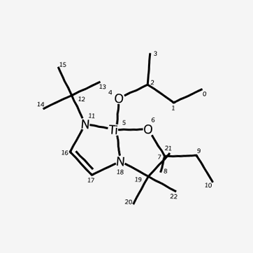 CCC(C)[O][Ti]1([O]C(C)CC)[N](C(C)(C)C)C=C[N]1C(C)(C)C